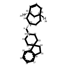 C1=C[C@H]2C[C@H](C1)CC[C@H](CN1CCC3(CCc4ccccc43)CC1)C2